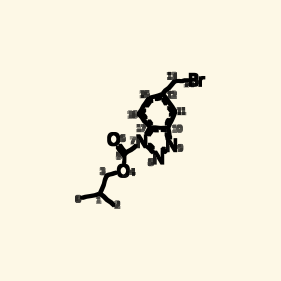 CC(C)COC(=O)n1nnc2cc(CBr)ccc21